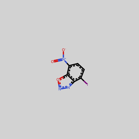 O=[N+]([O-])c1ccc(I)c2nnoc12